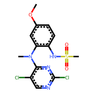 COc1ccc(NS(C)(=O)=O)c(N(C)c2nc(Cl)ncc2Cl)c1